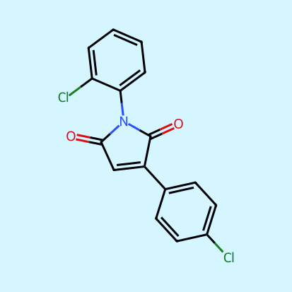 O=C1C=C(c2ccc(Cl)cc2)C(=O)N1c1ccccc1Cl